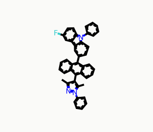 Cc1nn(-c2ccccc2)c(C)c1-c1c2ccccc2c(-c2ccc3c(c2)c2cc(F)ccc2n3-c2ccccc2)c2ccccc12